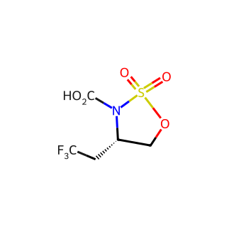 O=C(O)N1[C@@H](CC(F)(F)F)COS1(=O)=O